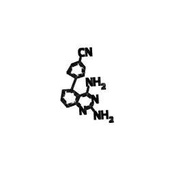 N#Cc1ccc(-c2cccc3nc(N)nc(N)c23)cc1